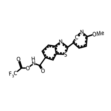 COc1ccc(-c2nc3ccc(C(=O)NOC(=O)C(F)(F)F)cc3s2)cn1